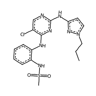 CCCn1ccc(Nc2ncc(Cl)c(Nc3ccccc3NS(C)(=O)=O)n2)n1